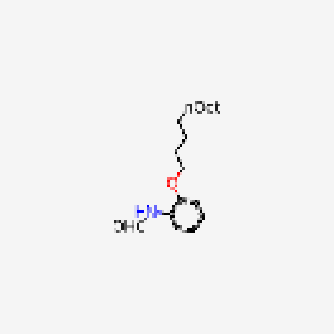 CCCCCCCCCCCCOc1ccccc1NC=O